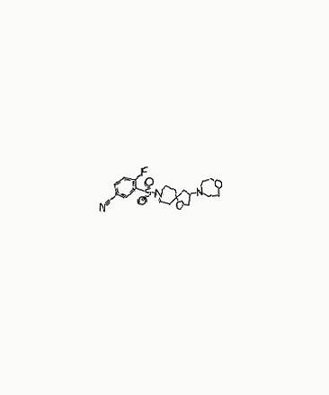 N#Cc1ccc(F)c(S(=O)(=O)N2CCC3(CC2)CC(N2CCOCC2)CO3)c1